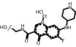 CCn1cc(C(=O)NCC(=O)O)c(=O)c2cc(F)c(NC3CCNCC3)cc21.Cl